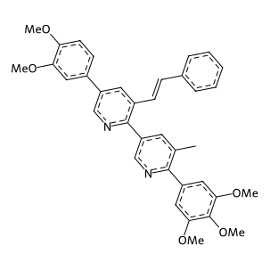 COc1ccc(-c2cnc(-c3cnc(-c4cc(OC)c(OC)c(OC)c4)c(C)c3)c(C=Cc3ccccc3)c2)cc1OC